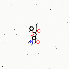 CCCCC(=O)/C(=C/c1ccc(N(CC)CC)c(C(C)=O)c1)C(=O)c1ccccc1C